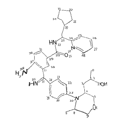 CC(O)CC1COCC(C)N1c1ccc(C(=N)c2cc(C(=O)NC(c3ccccn3)C3CCCC3)ccc2N)cc1